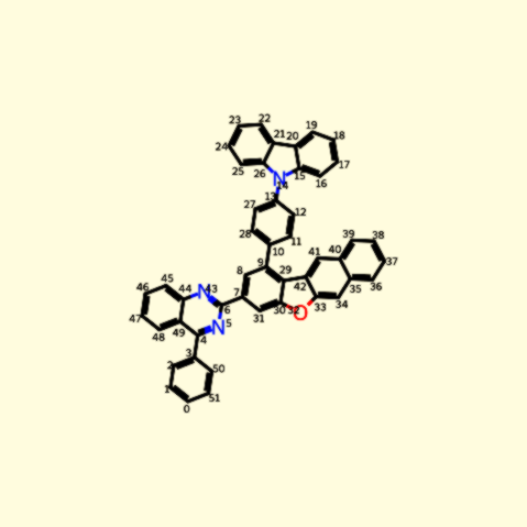 c1ccc(-c2nc(-c3cc(-c4ccc(-n5c6ccccc6c6ccccc65)cc4)c4c(c3)oc3cc5ccccc5cc34)nc3ccccc23)cc1